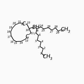 CCCCCCCCC(BC1CCCCCCCCCCCCC1)CCCCCCC